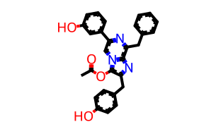 CC(=O)Oc1c(Cc2ccc(O)cc2)nc2c(Cc3ccccc3)nc(-c3cccc(O)c3)cn12